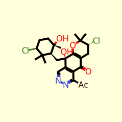 CC(=O)c1nncc2c1C(=O)C1=C(OC(C)(C)[C@H](Cl)C1)[C@]2(O)C[C@H]1C(C)(C)[C@@H](Cl)CC[C@]1(C)O